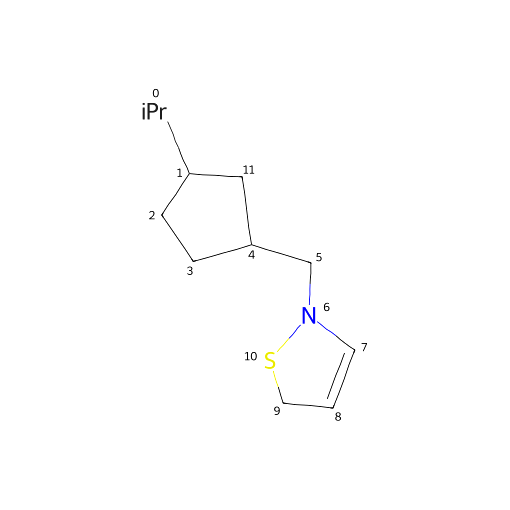 CC(C)C1CCC(CN2C=CCS2)C1